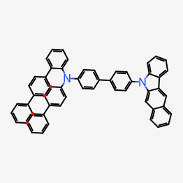 c1ccc(-c2ccc(-c3ccccc3N(c3ccc(-c4ccccc4)cc3)c3ccc(-c4ccc(-n5c6ccccc6c6cc7ccccc7cc65)cc4)cc3)cc2)cc1